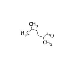 CC(C)CCC(C)[C]=O